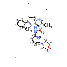 Cc1nn2ccc(-c3ccccc3C(F)(F)F)nc2c1C(=O)Nc1cccc(N2CCOCC2)n1